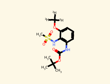 [2H]C([2H])([2H])Oc1cccc(NC(=O)OC(C)(C)C)c1NS(C)(=O)=O